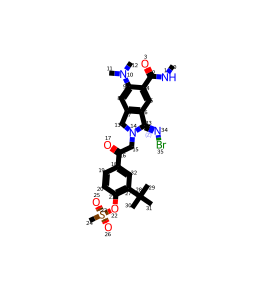 CNC(=O)c1cc2c(cc1N(C)C)CN(CC(=O)c1ccc(OS(C)(=O)=O)c(C(C)(C)C)c1)/C2=N\Br